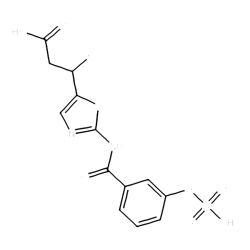 CC(CC(=O)O)c1cnc(NC(=O)c2cccc(OS(C)(=O)=O)c2)s1